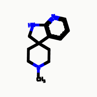 CN1CCC2(CC1)CNc1ncccc12